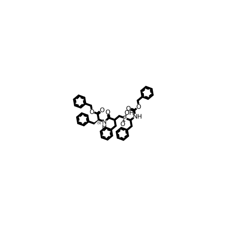 O=C(NC(Cc1ccccc1)P(=O)(O)CC(Cc1ccccc1)C(=O)N[C@@H](Cc1ccccc1)C(=O)OCc1ccccc1)OCc1ccccc1